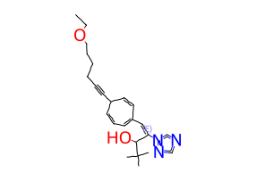 CCOCCCCC#CC1C=CC=C(/C=C(\C(O)C(C)(C)C)n2cncn2)C=C1